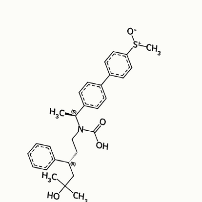 C[C@@H](c1ccc(-c2ccc([S+](C)[O-])cc2)cc1)N(CC[C@H](CC(C)(C)O)c1ccccc1)C(=O)O